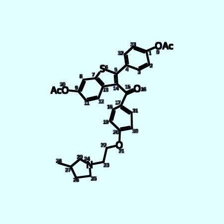 CC(=O)Oc1ccc(-c2sc3cc(OC(C)=O)ccc3c2C(=O)c2ccc(OCCN3CCC(C)C3)cc2)cc1